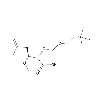 C=C(C)C[C@H](OC)[C@H](OCOCC[Si](C)(C)C)C(=O)O